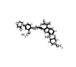 COc1cc(N2CCOCC2=O)ccc1NCC#Cc1sc2c(NC3CCN(C)CC3F)cccc2c1C(F)C(F)F